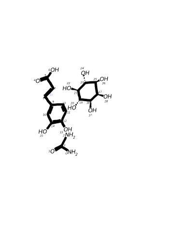 NC(N)=O.O=C(O)/C=C/c1ccc(O)c(O)c1.O[C@H]1[C@H](O)[C@@H](O)[C@H](O)[C@@H](O)[C@H]1O